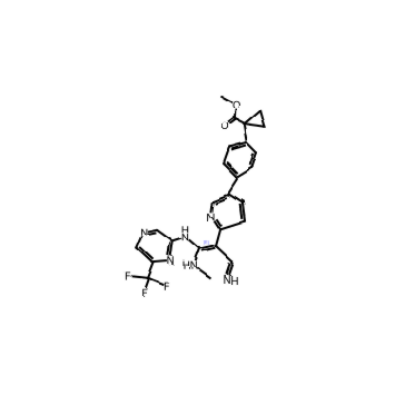 CN/C(Nc1cncc(C(F)(F)F)n1)=C(\C=N)c1ccc(-c2ccc(C3(C(=O)OC)CC3)cc2)cn1